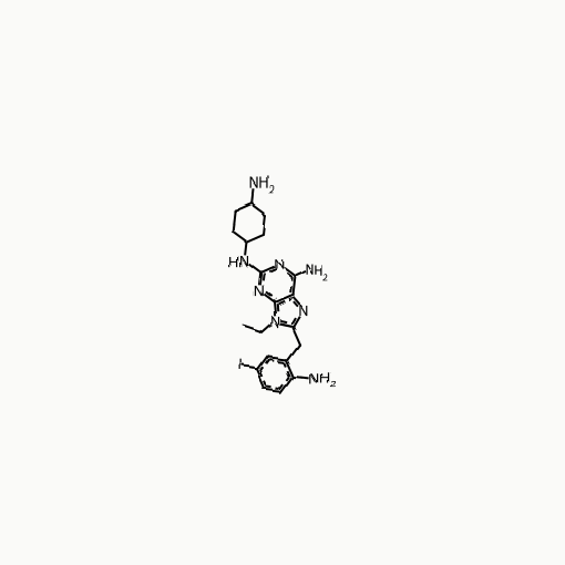 CCn1c(Cc2cc(I)ccc2N)nc2c(N)nc(NC3CCC(N)CC3)nc21